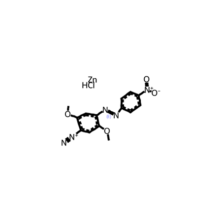 COc1cc([N+]#N)c(OC)cc1/N=N/c1ccc([N+](=O)[O-])cc1.Cl.[Zn]